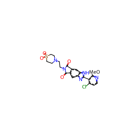 COc1nccc(Cl)c1-c1nc2cc3c(cc2[nH]1)C(=O)N(CCN1CCS(=O)(=O)CC1)C3=O